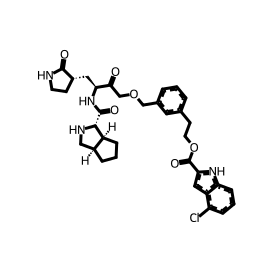 O=C(OCCc1cccc(COCC(=O)[C@H](C[C@@H]2CCNC2=O)NC(=O)[C@H]2NC[C@@H]3CCC[C@@H]32)c1)c1cc2c(Cl)cccc2[nH]1